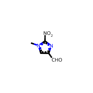 Cn1cc(C=O)nc1[N+](=O)[O-]